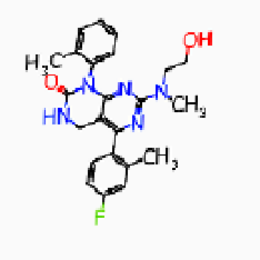 Cc1cc(F)ccc1-c1nc(N(C)CCO)nc2c1CNC(=O)N2c1ccccc1C